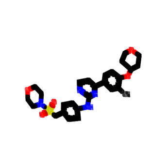 N#Cc1cc(-c2ccnc(Nc3ccc(CS(=O)(=O)N4CCOCC4)cc3)n2)ccc1OC1CCOCC1